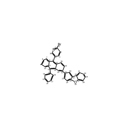 Brc1ccc(-c2c3ccccc3c(-c3ccccc3)c3cc(-c4ccc5oc6ccccc6c5c4)ccc23)cn1